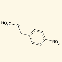 O=C(O)[N]Cc1ccc([N+](=O)[O-])cc1